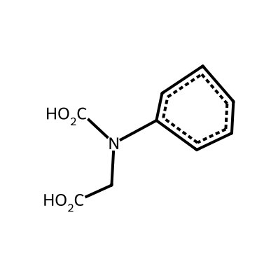 O=C(O)CN(C(=O)O)c1ccccc1